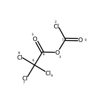 O=C(Cl)OC(=O)C(Cl)(Cl)Cl